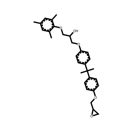 Cc1cc(C)c(OCC(O)COc2ccc(C(C)(C)c3ccc(OCC4CO4)cc3)cc2)c(C)c1